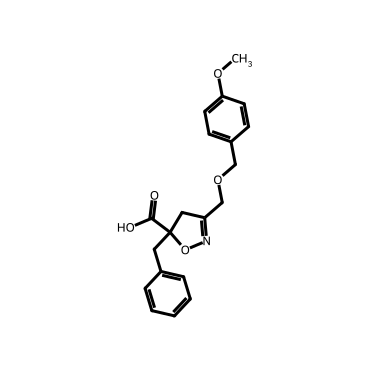 COc1ccc(COCC2=NOC(Cc3ccccc3)(C(=O)O)C2)cc1